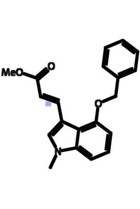 COC(=O)/C=C/c1cn(C)c2cccc(OCc3ccccc3)c12